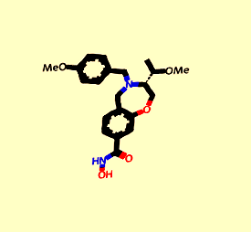 COc1ccc(CN2Cc3ccc(C(=O)NO)cc3OC[C@H]2C(C)OC)cc1